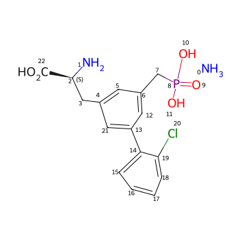 N.N[C@@H](Cc1cc(CP(=O)(O)O)cc(-c2ccccc2Cl)c1)C(=O)O